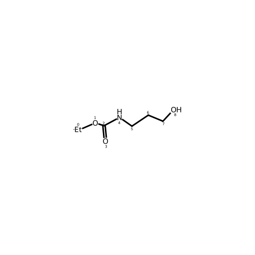 C[CH]OC(=O)NCCCO